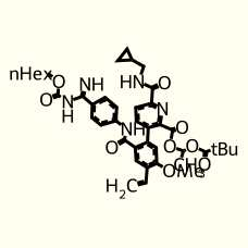 C=Cc1cc(C(=O)Nc2ccc(C(=N)NC(=O)OCCCCCC)cc2)c(-c2ccc(C(=O)NCC3CC3)nc2C(=O)OC(C)OC(=O)C(C)(C)C)cc1OC